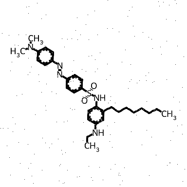 CCCCCCCCc1cc(NCC)ccc1NS(=O)(=O)c1ccc(N=Nc2ccc(N(C)C)cc2)cc1